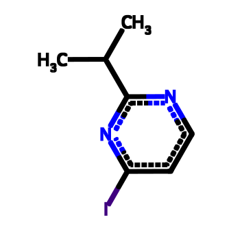 CC(C)c1nccc(I)n1